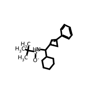 CC(C)(C)[S+]([O-])NC(C1CCCCC1)C12CC(c3ccccc3)(C1)C2